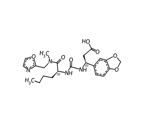 CCCC[C@H](NC(=O)N[C@@H](CC(=O)O)c1ccc2c(c1)OCO2)C(=O)N(C)Cc1ncco1